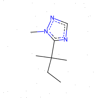 CCC(C)(C)c1ncnn1C